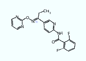 CC/C(=N\Oc1ncccn1)c1ccc(NC(=O)c2c(F)cccc2F)nc1